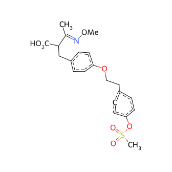 CON=C(C)C(Cc1ccc(OCCc2ccc(OS(C)(=O)=O)cc2)cc1)C(=O)O